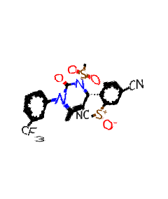 [C-]#[N+]C1=C(C)N(c2cccc(C(F)(F)F)c2)C(=O)N(S(C)(=O)=O)[C@@H]1c1ccc(C#N)cc1[S+](C)[O-]